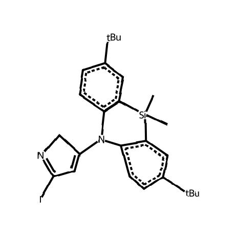 CC(C)(C)c1ccc2c(c1)[Si](C)(C)c1cc(C(C)(C)C)ccc1N2C1=CC(I)=NC1